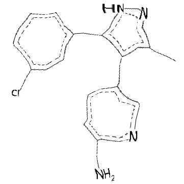 Cc1n[nH]c(-c2cccc(Cl)c2)c1-c1ccc(N)nc1